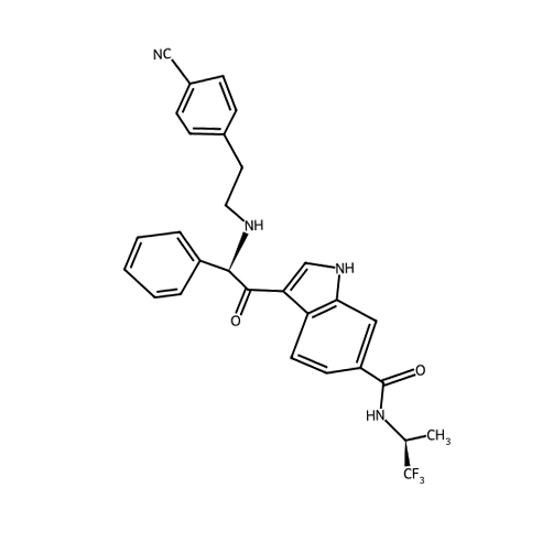 C[C@H](NC(=O)c1ccc2c(C(=O)[C@H](NCCc3ccc(C#N)cc3)c3ccccc3)c[nH]c2c1)C(F)(F)F